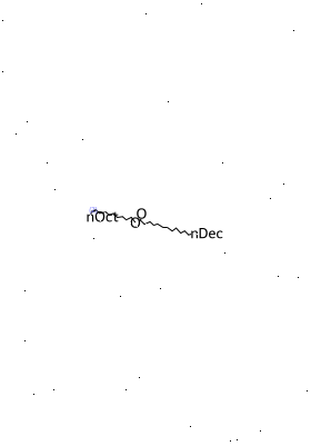 CCCCCCCC/C=C\CCCCCCCCOC(=O)CCCCCCCCCCCCCCCCCCCCC